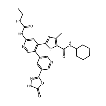 CCNC(=O)Nc1cc(-c2nc(C)c(C(=O)NC3CCCCC3)s2)c(-c2cncc(-c3n[nH]c(=O)o3)c2)cn1